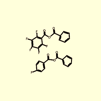 O=C(OC(=O)c1c(F)c(F)c(F)c(F)c1F)c1ccccc1.O=C(OC(=O)c1ccc(F)cc1)c1ccccc1